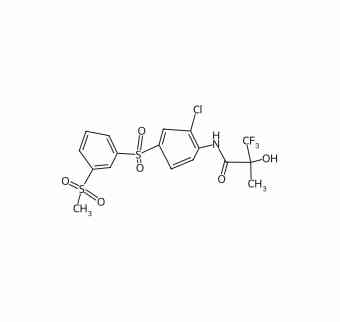 CC(O)(C(=O)Nc1ccc(S(=O)(=O)c2cccc(S(C)(=O)=O)c2)cc1Cl)C(F)(F)F